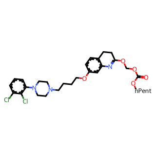 CCCCCOC(=O)OCOC1=Nc2cc(OCCCCN3CCN(c4cccc(Cl)c4Cl)CC3)ccc2CC1